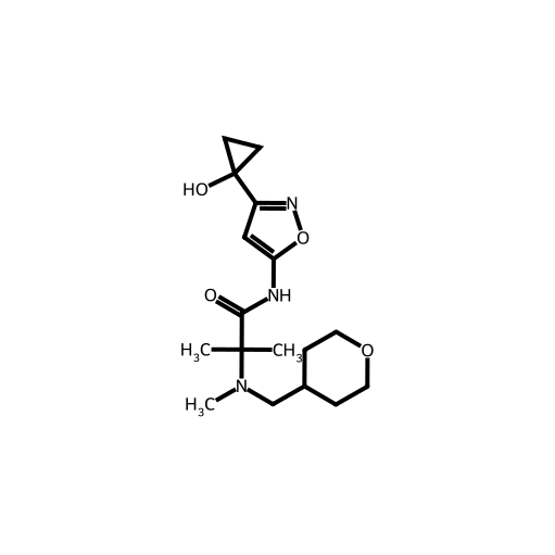 CN(CC1CCOCC1)C(C)(C)C(=O)Nc1cc(C2(O)CC2)no1